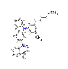 CCCCCCc1cc(C)cc(-n2c3ccccc3c3ccc(-c4ncc(Br)c5ccccc45)cc32)c1